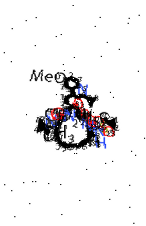 COc1ccc2nc(C3CC3)c3c(c2c1)CC[C@]1(C[C@H]2C(=O)N[C@]4(C(=O)NS(=O)(=O)C5(C)CC5)C[C@H]4/C=C\CCCCC[C@H](N(C(=O)O)C4(C)CC4)C(=O)N2C1)O3